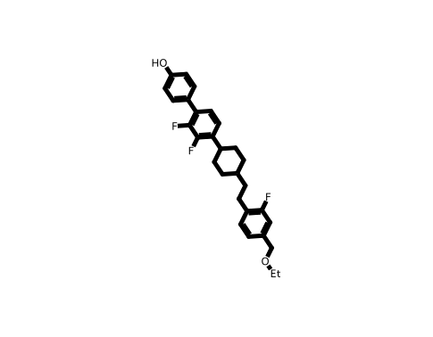 CCOCc1ccc(CCC2CCC(c3ccc(-c4ccc(O)cc4)c(F)c3F)CC2)c(F)c1